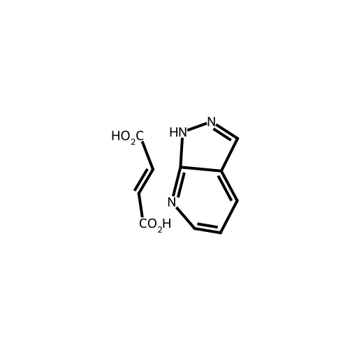 O=C(O)C=CC(=O)O.c1cnc2[nH]ncc2c1